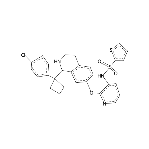 O=S(=O)(Nc1cccnc1Oc1ccc2c(c1)C(C1(c3ccc(Cl)cc3)CCC1)NCC2)c1cccs1